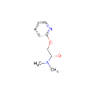 CN(C)C(=O)COc1ccccn1